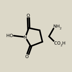 NCC(=O)O.O=C1CCC(=O)N1O